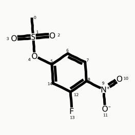 CS(=O)(=O)Oc1ccc([N+](=O)[O-])c(F)c1